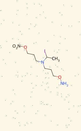 CC(I)N(CCCON)CCCO[N+](=O)[O-]